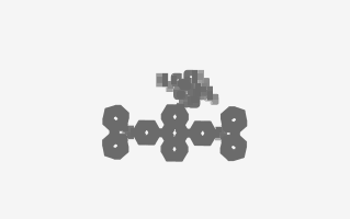 COB(OC(C)(C)C)c1ccc2c(-c3ccc(-n4c5ccccc5c5ccccc54)cc3)c3ccccc3c(-c3ccc(-n4c5ccccc5c5ccccc54)cc3)c2c1